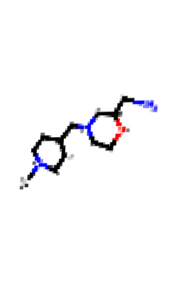 BN1CCC(CN2CCOC(CN)C2)CC1